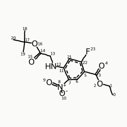 CCOC(=O)c1cc([N+](=O)[O-])c(NCC(=O)OC(C)(C)C)cc1F